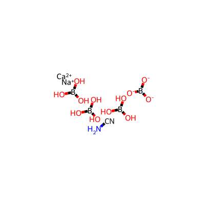 N#CN.OB(O)O.OB(O)O.OB(O)O.[Ca+2].[Na+].[O-]B([O-])[O-]